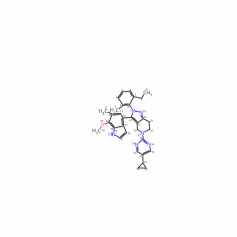 CCc1cccc(C)c1-n1nc2c(c1-c1cc(C)c(OC)c3[nH]ccc13)CN(c1ncc(C3CC3)cn1)CC2